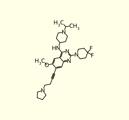 COc1cc2c(NC3CCN(C(C)C)CC3)nc(N3CCC(F)(F)CC3)nc2cc1C#CCCN1CCCC1